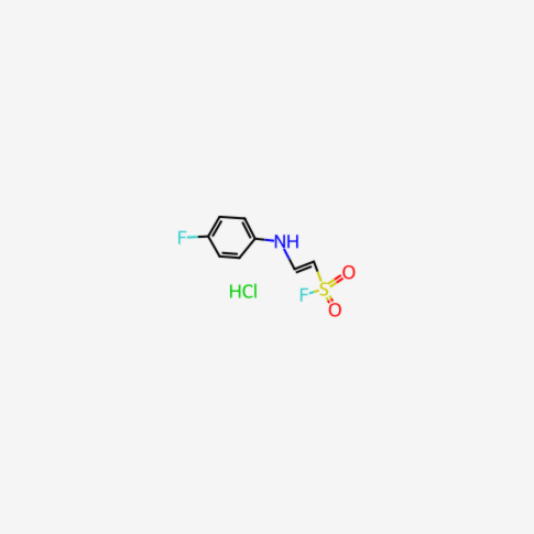 Cl.O=S(=O)(F)C=CNc1ccc(F)cc1